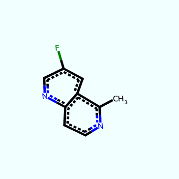 Cc1nccc2ncc(F)cc12